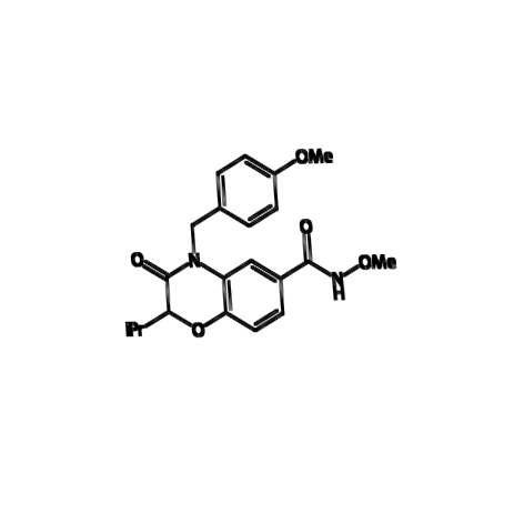 CONC(=O)c1ccc2c(c1)N(Cc1ccc(OC)cc1)C(=O)C(C(C)C)O2